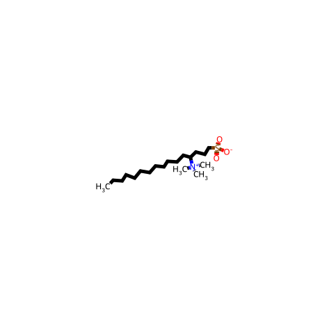 CCCCCCCCCCCCC(CCCS(=O)(=O)[O-])[N+](C)(C)C